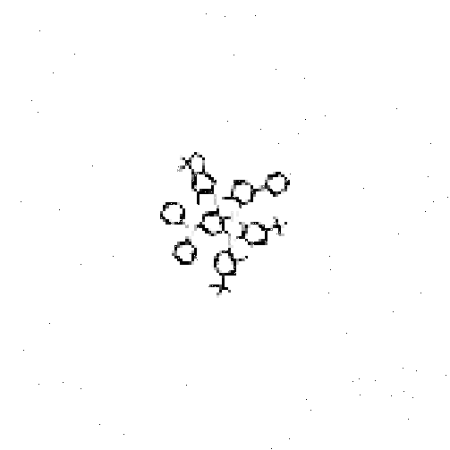 Cc1cc(C(C)(C)C)ccc1N1c2ccc(C(C)(C)C)cc2B2c3cc(-c4ccccc4)ccc3N(c3cc4c(cc3C)C(C)(C)CC4)c3cc(N(c4ccccc4)c4ccccc4)cc1c32